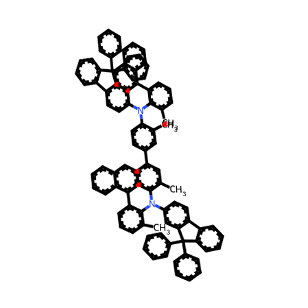 Cc1cc(-c2ccc(N(c3ccc4c(c3)C(c3ccccc3)(c3ccccc3)c3ccccc3-4)c3c(C)cccc3-c3cccc4ccccc34)c(C)c2)ccc1N(c1ccc2c(c1)C(c1ccccc1)(c1ccccc1)c1ccccc1-2)c1c(C)cccc1-c1cccc2ccccc12